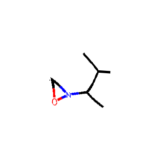 CC(C)C(C)N1[CH]O1